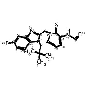 CC(C)(C)Cn1c(Cn2cccc(NC=O)c2=O)nc2cc(F)ccc21